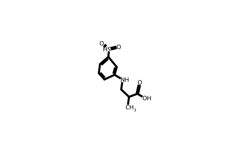 CC(CNc1cccc([SH](=O)=O)c1)C(=O)O